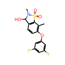 Cc1c(Oc2cc(F)cc(F)c2)ccc2c1S(=O)(=O)N(C)C2O